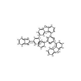 c1ccc(-c2nc(-c3cccc4oc5ccc(-c6cccc(-c7nc8ccccc8o7)c6)cc5c34)nc(-c3cccc4sc5ccccc5c34)n2)cc1